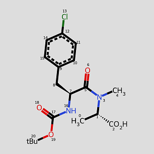 C[C@@H](C(=O)O)N(C)C(=O)[C@H](Cc1ccc(Cl)cc1)NC(=O)OC(C)(C)C